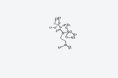 CCCN(C(=S)N(CCN(CC)CC)[Si](OCC)(OCC)OCC)[Si](OCC)(OCC)OCC